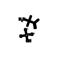 C=C(C)C(C)(C)N.[O-][Cl+3]([O-])([O-])O